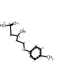 Cc1ccc(SCCC(O)CC(=O)O)cc1